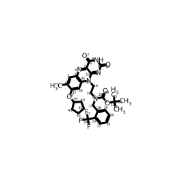 Cc1cc2nc3c(=O)[nH]c(=O)nc-3n(CCN(Cc3ccccc3C(F)(F)F)C(=O)OC(C)(C)C)c2cc1OC1CCCC1